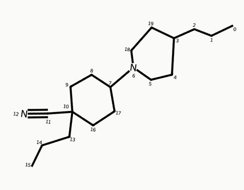 CCCC1CCN(C2CCC(C#N)(CCC)CC2)CC1